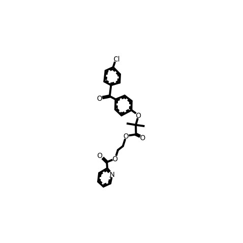 CC(C)(Oc1ccc(C(=O)c2ccc(Cl)cc2)cc1)C(=O)OCCOC(=O)c1ccccn1